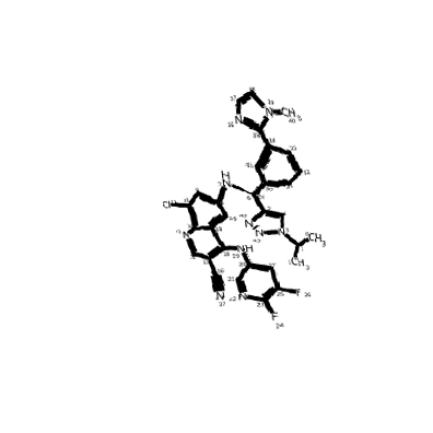 CC(C)n1cc([C@@H](Nc2cc(Cl)c3ncc(C#N)c(Nc4cnc(F)c(F)c4)c3c2)c2cccc(-c3nccn3C)c2)nn1